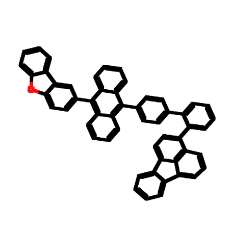 c1ccc(-c2ccc3c4c(cccc24)-c2ccccc2-3)c(-c2ccc(-c3c4ccccc4c(-c4ccc5oc6ccccc6c5c4)c4ccccc34)cc2)c1